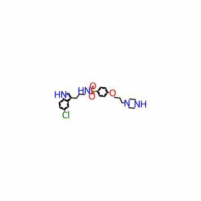 O=S(=O)(NCCCc1c[nH]c2ccc(Cl)cc12)c1ccc(OCCCN2CCNCC2)cc1